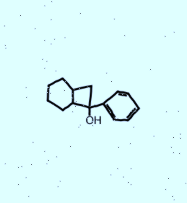 OC1(c2ccccc2)CC2CCCCC21